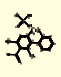 O=P(O)(O)O.[Li][C](=O)c1c(C)cc(C)c(-c2ccccc2C)c1C